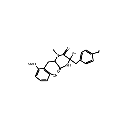 CCC1(Cc2ccc(F)cc2)NC(=O)C(Cc2c(C#N)cccc2OC)N(C)C1=O